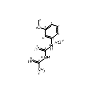 COc1cccc(NC(=N)NC(=N)N)c1.Cl